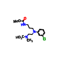 COC(=O)NCCCN(CCN(C)C(=O)O)c1cccc(Cl)c1